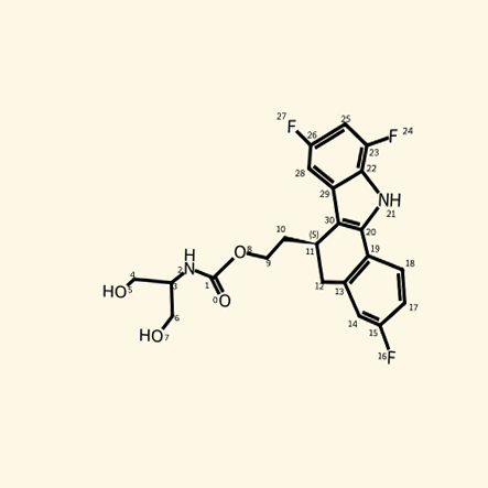 O=C(NC(CO)CO)OCC[C@@H]1Cc2cc(F)ccc2-c2[nH]c3c(F)cc(F)cc3c21